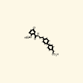 CCCCOc1ccc(Cl)cc1C(=O)NCCc1ccc(-c2ccc(CC(=O)O)cc2)cc1